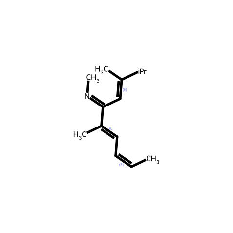 C/C=C\C=C(/C)C(/C=C(\C)C(C)C)=NC